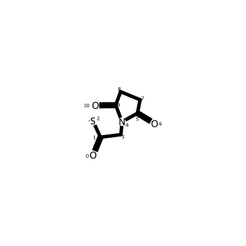 O=C([S])CN1C(=O)CCC1=O